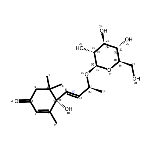 CC1=CC(=O)CC(C)(C)[C@@]1(O)/C=C/[C@H](C)O[C@@H]1O[C@H](CO)[C@@H](O)[C@H](O)[C@H]1O